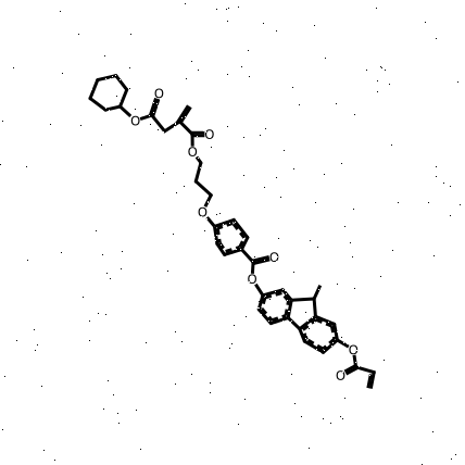 C=CC(=O)Oc1ccc2c(c1)C(C)c1cc(OC(=O)c3ccc(OCCCOC(=O)C(=C)CC(=O)OC4CCCCC4)cc3)ccc1-2